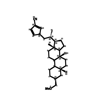 COC[C@H]1CCC2C3CC[C@@]4(C)C(CC[C@@H]4[C@@H](C)Cn4ccc(C#N)n4)[C@@H]3CC[C@@H]2C1